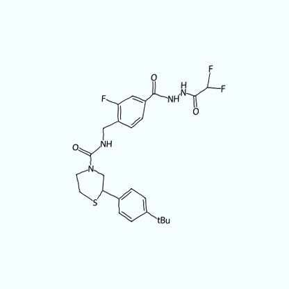 CC(C)(C)c1ccc(C2CN(C(=O)NCc3ccc(C(=O)NNC(=O)C(F)F)cc3F)CCS2)cc1